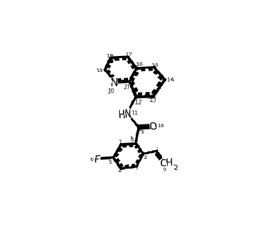 C=Cc1ccc(F)cc1C(=O)Nc1cccc2cccnc12